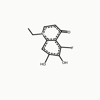 CCn1c[c]c(=O)c2c(F)c(O)c(O)cc21